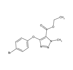 CCOC(=O)c1c(Oc2ccc(Br)cc2)nnn1C